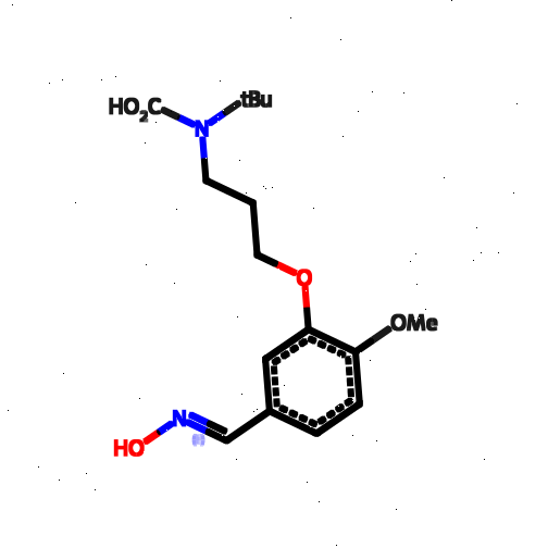 COc1ccc(/C=N/O)cc1OCCCN(C(=O)O)C(C)(C)C